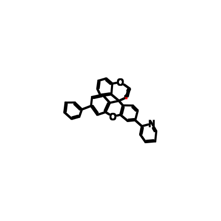 c1ccc(-c2ccc3c(c2)Oc2cc(-c4ccccn4)ccc2C32c3ccccc3Oc3ccccc32)cc1